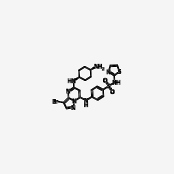 N[C@H]1CC[C@@H](Nc2cc(Nc3ccc(S(=O)(=O)Nc4nccs4)cc3)n3ncc(Br)c3n2)CC1